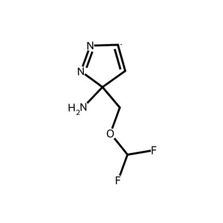 NC1(COC(F)F)C=[C]N=N1